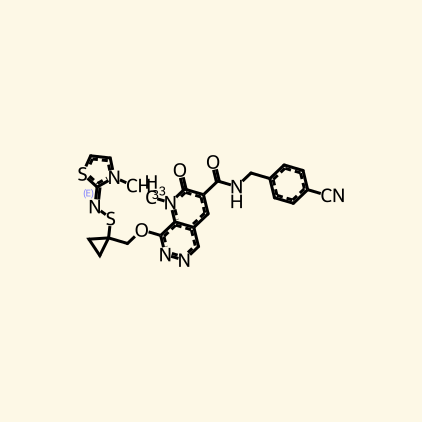 Cn1ccs/c1=N/SC1(COc2nncc3cc(C(=O)NCc4ccc(C#N)cc4)c(=O)n(C)c23)CC1